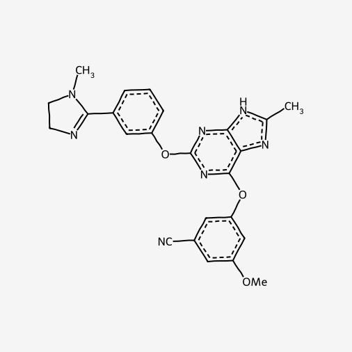 COc1cc(C#N)cc(Oc2nc(Oc3cccc(C4=NCCN4C)c3)nc3[nH]c(C)nc23)c1